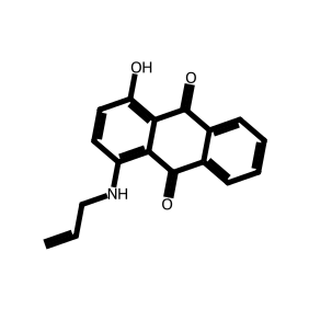 C=CCNc1ccc(O)c2c1C(=O)c1ccccc1C2=O